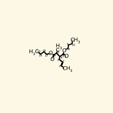 CC=CCC(C(=O)OCCCC)C(C)C(=O)OCCCC